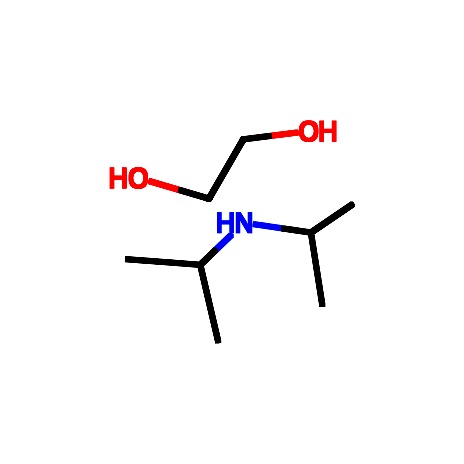 CC(C)NC(C)C.OCCO